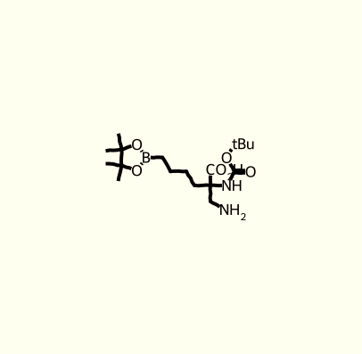 CC(C)(C)OC(=O)NC(CN)(CCCCB1OC(C)(C)C(C)(C)O1)C(=O)O